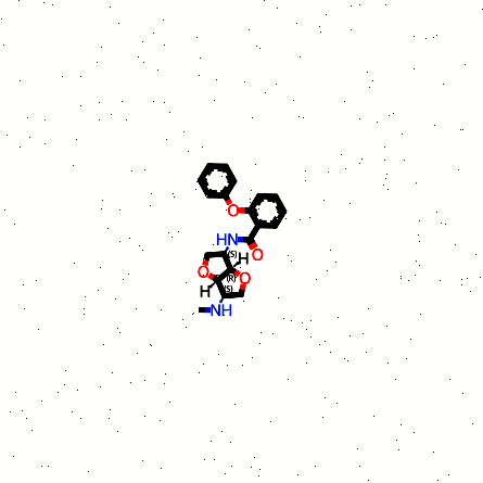 CN[C@H]1CO[C@H]2[C@@H]1OC[C@@H]2NC(=O)c1ccccc1Oc1ccccc1